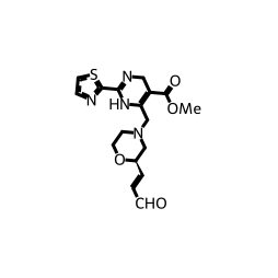 COC(=O)C1=C(CN2CCO[C@H](/C=C/C=O)C2)NC(c2nccs2)=NC1